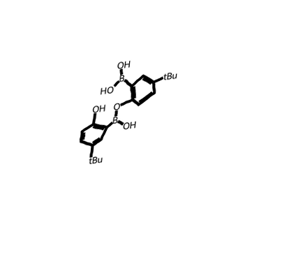 CC(C)(C)c1ccc(O)c(B(O)Oc2ccc(C(C)(C)C)cc2B(O)O)c1